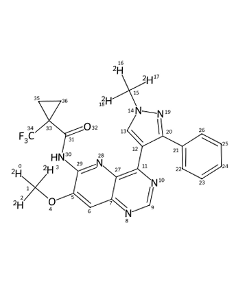 [2H]C([2H])([2H])Oc1cc2ncnc(-c3cn(C([2H])([2H])[2H])nc3-c3ccccc3)c2nc1NC(=O)C1(C(F)(F)F)CC1